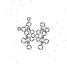 COc1ccc2c(c1)c1cc(OC)ccc1n2-c1ccc2c(c1)-c1c(ccc3c1B(c1ccccc1)c1ccccc1B3c1ccccc1)C21c2ccc(-n3c4ccccc4c4ccccc43)cc2-c2c1ccc1c2B(c2ccccc2)c2ccccc2B1c1ccccc1